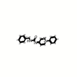 O=C(N=c1ccn(-c2ccccc2)nc1)NCc1ccccc1